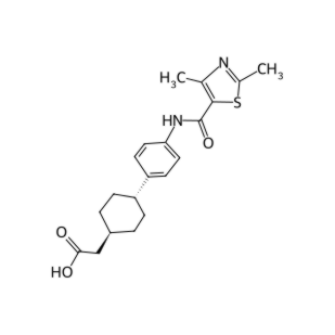 Cc1nc(C)c(C(=O)Nc2ccc([C@H]3CC[C@H](CC(=O)O)CC3)cc2)s1